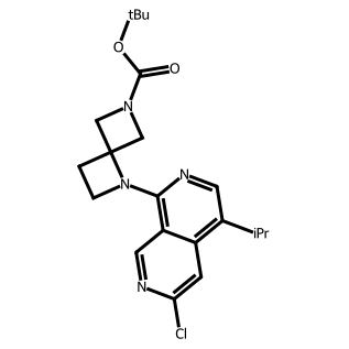 CC(C)c1cnc(N2CCC23CN(C(=O)OC(C)(C)C)C3)c2cnc(Cl)cc12